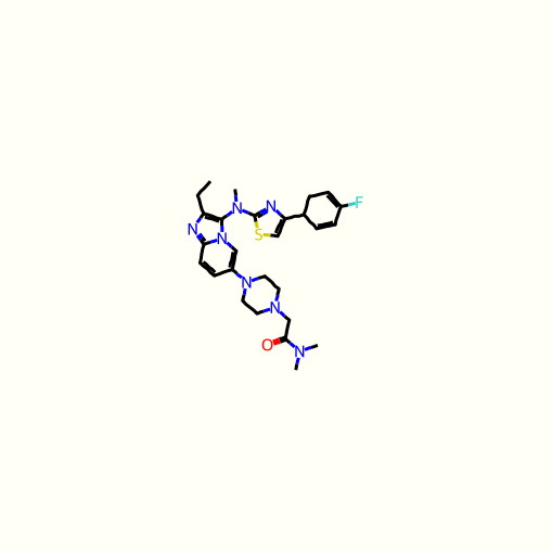 CCc1nc2ccc(N3CCN(CC(=O)N(C)C)CC3)cn2c1N(C)c1nc(C2C=CC(F)=CC2)cs1